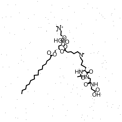 CCCCCCCCCCCCCCCC(=O)OC[C@H](COP(=O)(O)OCC[N+](C)(C)C)OC(=O)CCCCN(C)CCCC[C@H](NC(C)=O)C(=O)NCC(=O)NCC(=O)O